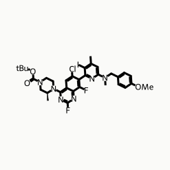 COc1ccc(CN(C)c2cc(C)c(I)c(-c3c(Cl)cc4c(N5CCN(C(=O)OC(C)(C)C)C[C@@H]5C)nc(F)nc4c3F)n2)cc1